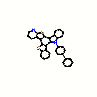 c1ccc(-c2ccc(-n3c4ccccc4c4c5sc6ncccc6c5c5sc6ccccc6c5c43)cc2)cc1